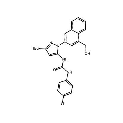 CC(C)(C)c1cc(NC(=O)Nc2ccc(Cl)cc2)n(-c2cc(CO)c3ccccc3c2)n1